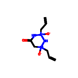 C=CC[N+]1([O-])CC(=O)N[N+]([O-])(CC=C)N1